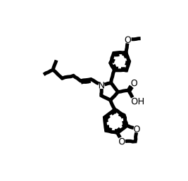 COc1ccc(C2C(C(=O)O)C(c3ccc4c(c3)OCO4)CN2/C=C/CCC(C)C)cc1